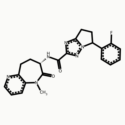 CN1C(=O)[C@@H](NC(=O)c2nc3n(n2)C(c2ccccc2F)CC3)CCc2ncccc21